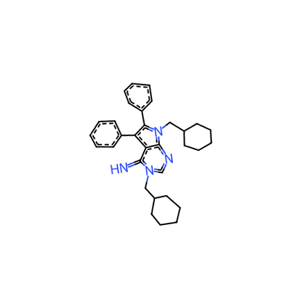 N=c1c2c(-c3ccccc3)c(-c3ccccc3)n(CC3CCCCC3)c2ncn1CC1CCCCC1